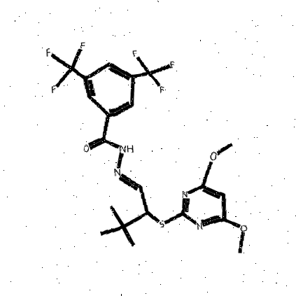 COc1cc(OC)nc(SC(C=NNC(=O)c2cc(C(F)(F)F)cc(C(F)(F)F)c2)C(C)(C)C)n1